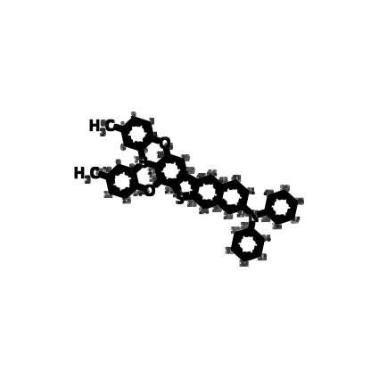 Cc1ccc2c(c1)B1c3cc(C)ccc3Oc3c1c(cc1c3sc3cc4cc(N(c5ccccc5)c5ccccc5)ccc4cc31)O2